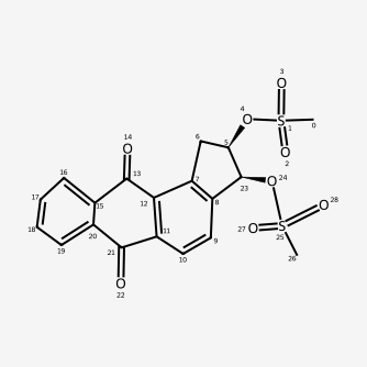 CS(=O)(=O)O[C@@H]1Cc2c(ccc3c2C(=O)c2ccccc2C3=O)[C@@H]1OS(C)(=O)=O